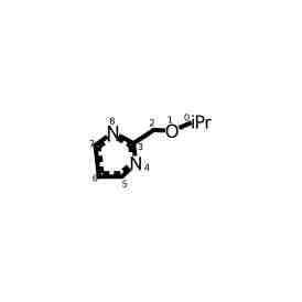 CC(C)OCc1ncccn1